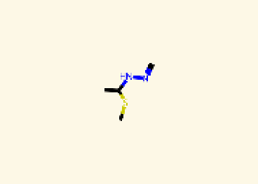 C=NNC(C)SC